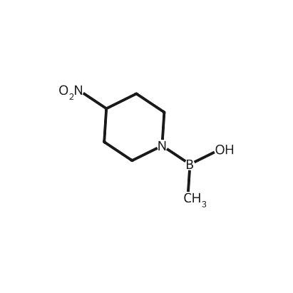 CB(O)N1CCC([N+](=O)[O-])CC1